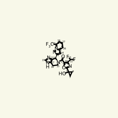 O=C(c1oc(C2(O)CC2)nc1C(F)F)N1CCc2[nH]cnc2[C@H]1c1cc2cccc(C(F)(F)F)n2n1